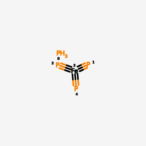 P.[P]#[Fe](#[P])#[P]